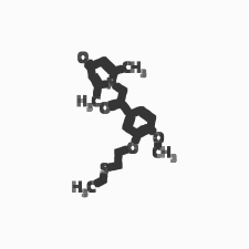 CCSCCOc1cc(C(=O)Cn2c(C)cc(=O)cc2C)ccc1OC